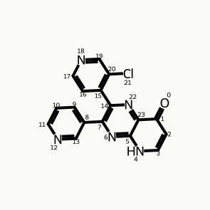 O=c1cc[nH]c2nc(-c3cccnc3)c(-c3ccncc3Cl)nc12